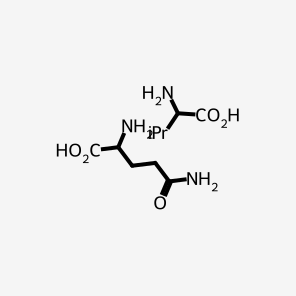 CC(C)C(N)C(=O)O.NC(=O)CCC(N)C(=O)O